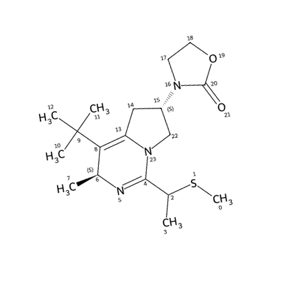 CSC(C)C1=N[C@@H](C)C(C(C)(C)C)=C2C[C@H](N3CCOC3=O)CN12